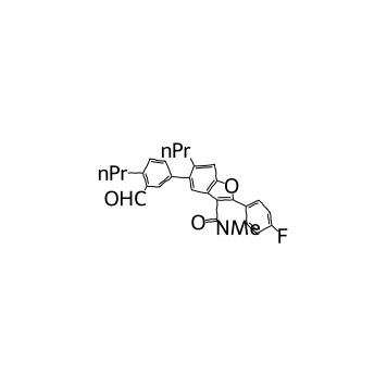 CCCc1ccc(-c2cc3c(C(=O)NC)c(-c4ccc(F)cc4)oc3cc2CCC)cc1C=O